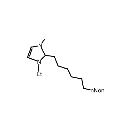 CCCCCCCCCCCCCCCC1N(C)C=CN1CC